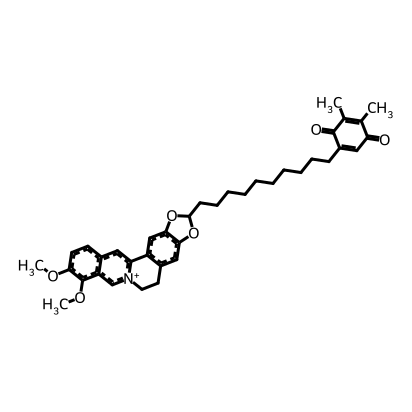 COc1ccc2cc3[n+](cc2c1OC)CCc1cc2c(cc1-3)OC(CCCCCCCCCCC1=CC(=O)C(C)=C(C)C1=O)O2